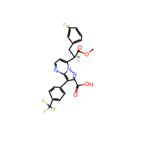 COC(=O)[C@](C)(Cc1cccc(F)c1)c1ccnc2c(-c3ccc(C(F)(F)F)cc3)c(C(=O)O)nn12